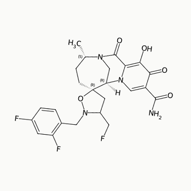 C[C@H]1CC[C@@]2(CC(CF)N(Cc3ccc(F)cc3F)O2)[C@H]2CN1C(=O)c1c(O)c(=O)c(C(N)=O)cn12